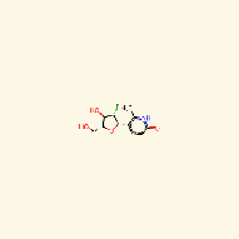 Cc1[nH]c(=O)ccc1[C@@H]1O[C@H](CO)C(O)[C@@H]1F